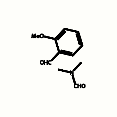 CN(C)C=O.COc1ccccc1C=O